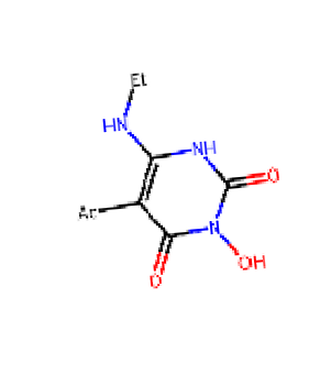 CCNc1[nH]c(=O)n(O)c(=O)c1C(C)=O